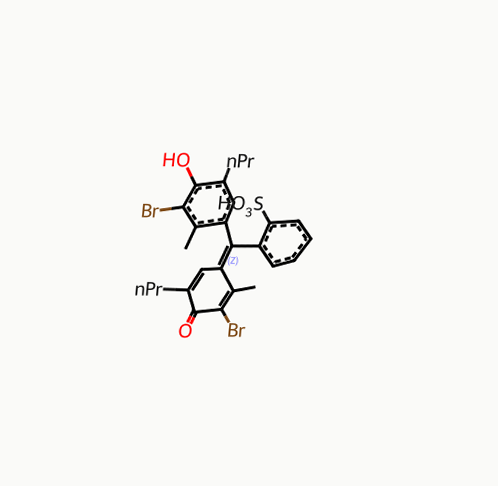 CCCC1=C/C(=C(/c2ccccc2S(=O)(=O)O)c2cc(CCC)c(O)c(Br)c2C)C(C)=C(Br)C1=O